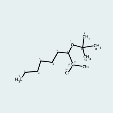 CCCCCCC(OC(C)(C)C)[SiH](Cl)Cl